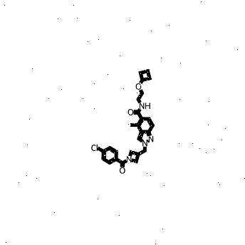 Cc1c(C(=O)NCCOC2CCC2)ccc2nn(CC3CN(C(=O)c4ccc(Cl)cc4)C3)cc12